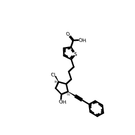 O=C(O)c1ccc(CCCC2[C@@H](C#Cc3ccccc3)C(O)C[C@H]2Cl)s1